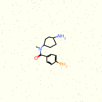 CN(C(=O)c1ccc(P)cc1)C1CCC(N)CC1